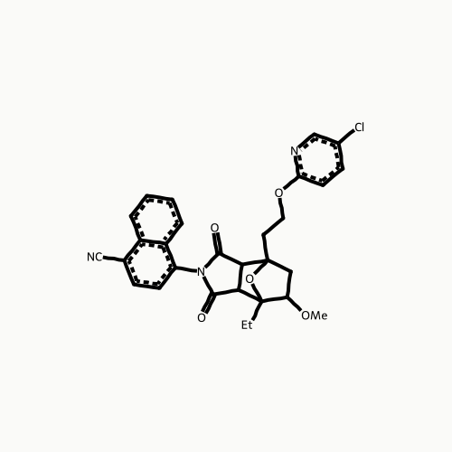 CCC12OC(CCOc3ccc(Cl)cn3)(CC1OC)C1C(=O)N(c3ccc(C#N)c4ccccc34)C(=O)C12